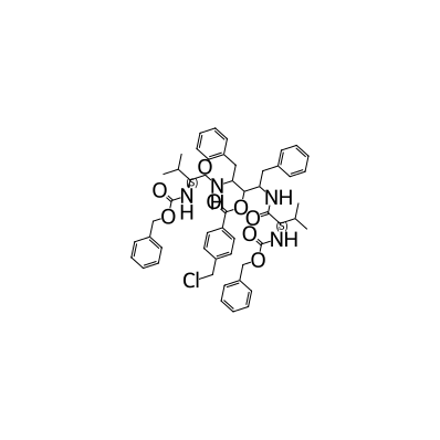 CC(C)[C@H](NC(=O)OCc1ccccc1)C(=O)NC(Cc1ccccc1)C(OC(=O)c1ccc(CCl)cc1)C(Cc1ccccc1)NC(=O)[C@@H](NC(=O)OCc1ccccc1)C(C)C